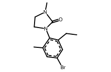 CCc1cc(Br)cc(C)c1N1CCN(C)C1=O